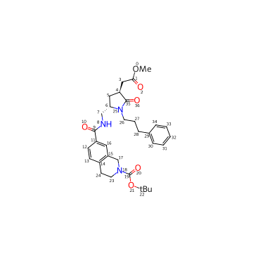 COC(=O)C[C@@H]1C[C@@H](CNC(=O)c2ccc3c(c2)CN(C(=O)OC(C)(C)C)CC3)N(CCCc2ccccc2)C1=O